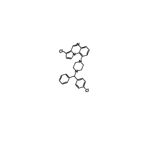 Clc1ccc(C(c2ccccc2)N2CCN(c3cccc4ncc5c(Cl)ccn5c34)CC2)cc1